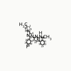 CC1CCN(c2cn(-c3ccnc(N[C@@H](C)c4ccccc4)n3)c(-c3ccc(F)cc3)n2)CC1